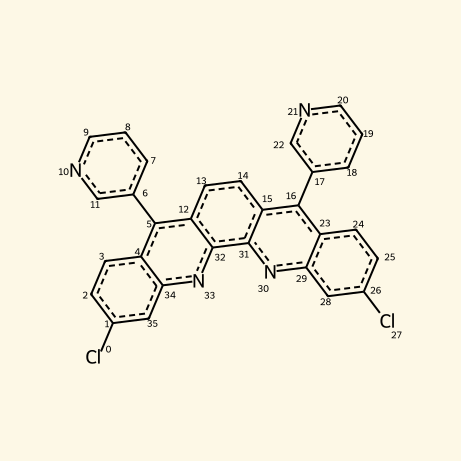 Clc1ccc2c(-c3cccnc3)c3ccc4c(-c5cccnc5)c5ccc(Cl)cc5nc4c3nc2c1